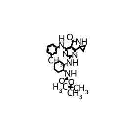 Cc1cccc(Nc2nc(N[C@@H]3CCCC[C@@H]3NC(=O)OC(C)(C)C)nc3c2C(=O)NC32CC2)c1